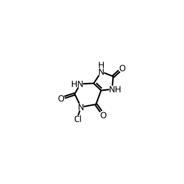 O=c1[nH]c2[nH]c(=O)n(Cl)c(=O)c2[nH]1